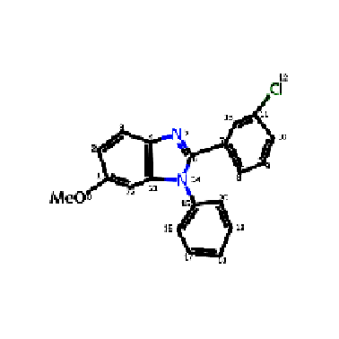 COc1ccc2nc(-c3cccc(Cl)c3)n(-c3ccccc3)c2c1